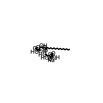 CCCCCCCCCCCCCCCC(=O)OC[C@H](O)[C@H]1OC(=O)C(O)=C1O.O=C1O[C@H]([C@@H](O)CO)C([O-])=C1O.[Na+]